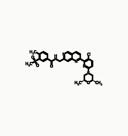 Cc1ccc(C(=O)NCc2cc3nc(-c4nc(N5C[C@@H](C)O[C@@H](C)C5)ccc4Cl)ccc3cn2)cc1S(C)(=O)=O